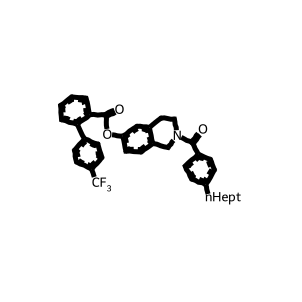 CCCCCCCc1ccc(C(=O)N2CCc3cc(OC(=O)c4ccccc4-c4ccc(C(F)(F)F)cc4)ccc3C2)cc1